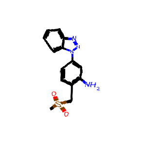 CS(=O)(=O)Cc1ccc(-n2nnc3ccccc32)cc1N